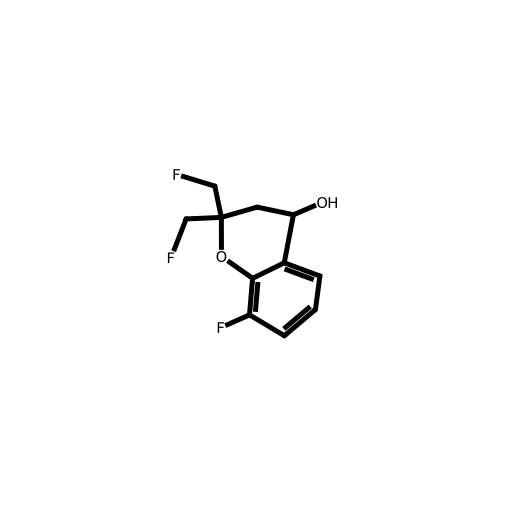 OC1CC(CF)(CF)Oc2c(F)cccc21